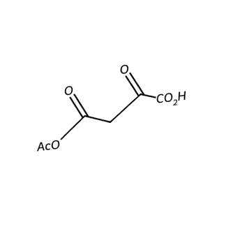 CC(=O)OC(=O)CC(=O)C(=O)O